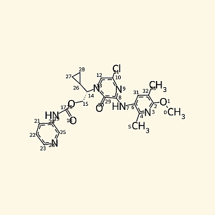 COc1nc(C)c(Nc2nc(Cl)cn([C@H](COC(=O)Nc3cccnc3)C3CC3)c2=O)cc1C